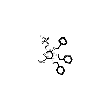 CO[C@H]1O[C@H](COS(=O)(=O)C(F)(F)F)[C@@H](OCc2ccccc2)[C@H](OCc2ccccc2)[C@@H]1OCc1ccccc1